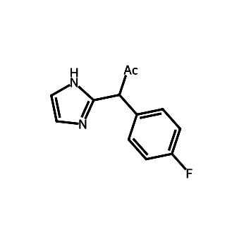 CC(=O)C(c1ccc(F)cc1)c1ncc[nH]1